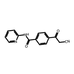 N#CCC(=O)c1ccc(C(=O)Nc2ccccn2)cc1